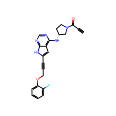 C#CC(=O)N1CC[C@@H](Nc2ncnc3[nH]c(C#CCOc4ccccc4F)cc23)C1